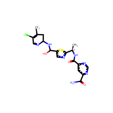 C[C@@H](NC(=O)c1cc(C(N)=O)ncn1)c1ncc(C(O)NC2CC(C(F)(F)F)=C(Cl)C=N2)s1